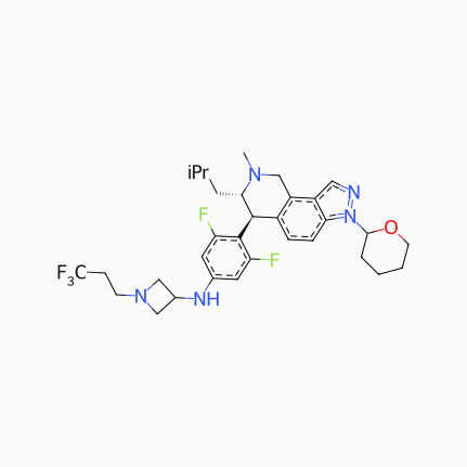 CC(C)C[C@H]1[C@H](c2c(F)cc(NC3CN(CCC(F)(F)F)C3)cc2F)c2ccc3c(cnn3C3CCCCO3)c2CN1C